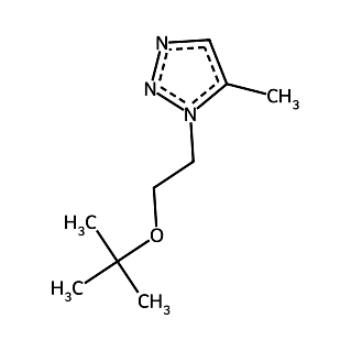 Cc1cnnn1CCOC(C)(C)C